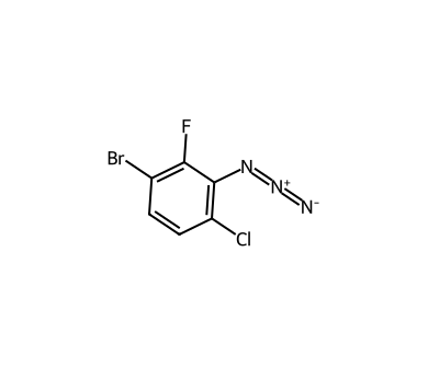 [N-]=[N+]=Nc1c(Cl)ccc(Br)c1F